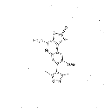 COc1cc2c(cc1-c1c(C)noc1C)nc(C(=O)O)c1oc(=O)[nH]c12